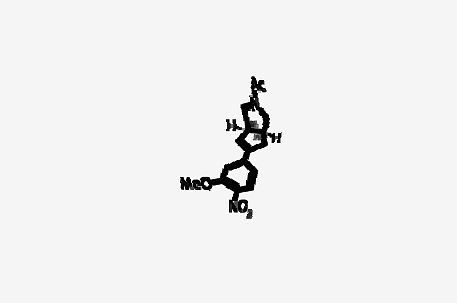 COc1cc(C2=C[C@H]3CN(C(C)=O)C[C@H]3C2)ccc1[N+](=O)[O-]